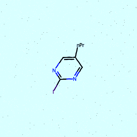 CCCc1cnc(I)nc1